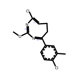 COC1=N/C(Cl)=C/CC/C(c2ccc(Cl)c(C)c2)=N\1